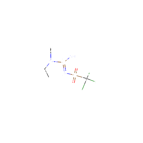 CCN(C)S(N)=NS(=O)(=O)C(F)(F)F